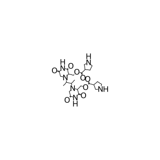 CC(C(C)N1CC(=O)NC(=O)C1COC(=O)C1CCNC1)N1CC(=O)NC(=O)C1COC(=O)C1CCNC1